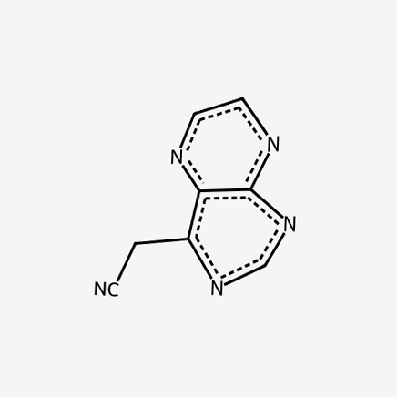 N#CCc1ncnc2nccnc12